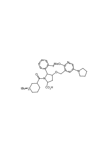 COc1ncc(N2CCCC2)cc1COC1CC(C(=O)O)N(C(=O)C2CCC[C@@H](C(C)(C)C)C2)C1c1ccccc1F